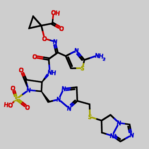 Nc1nc(/C(=N/OC2(C(=O)O)CC2)C(=O)N[C@@H]2C(=O)N(S(=O)(=O)O)[C@@H]2Cn2ncc(CSC3Cn4cnc[n+]4C3)n2)cs1